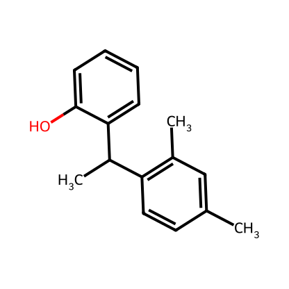 Cc1ccc(C(C)c2ccccc2O)c(C)c1